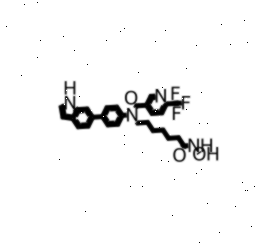 O=C(CCCCCCN(C(=O)c1ccc(C(F)(F)F)nc1)c1ccc(-c2ccc3cc[nH]c3c2)cc1)NO